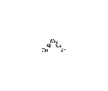 [Al].[Ca].[Cu].[Mg].[Zn]